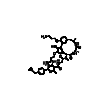 Cc1nc(-c2ccc(CC3CC3)cc2)nc(N)c1C(=O)NCC(=O)N(C)[C@@H]1C(=O)N[C@@H](C)C(=O)N[C@H](C)Cc2ccc(OCCCN)c(c2)-c2cc1cc(OCCCN)c2O